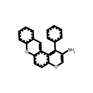 NC1=COc2ccc3c(c2=C1c1ccccc1)=Cc1ccccc1O3